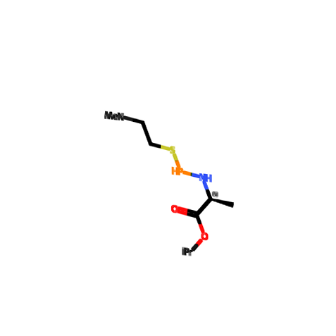 CNCCSPN[C@@H](C)C(=O)OC(C)C